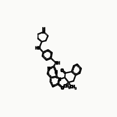 CC1(C)Cc2ccccc2C(=O)C1n1c(=O)ccc2cnc(Nc3ccc(NC4CCNCC4)cc3)nc21